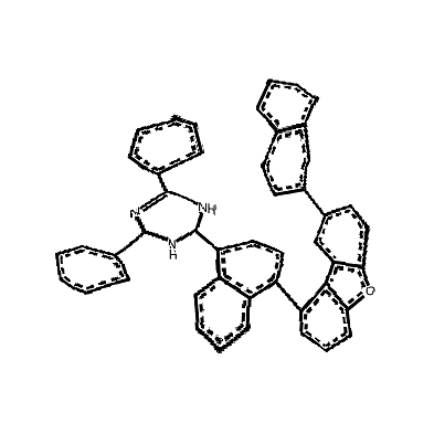 c1ccc(C2=NC(c3ccccc3)NC(c3ccc(-c4cccc5oc6ccc(-c7ccc8ccccc8c7)cc6c45)c4ccccc34)N2)cc1